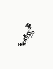 COc1cc(-c2cnc3cc(N4CC[C@@H](O)C4)ccn23)cc(CCN(C)CC(F)(F)F)c1C=O